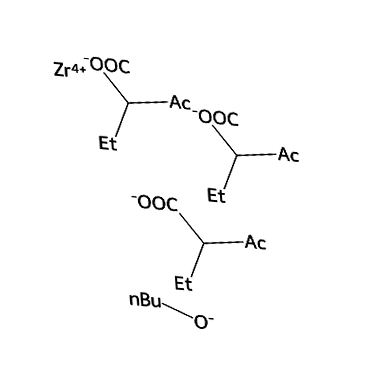 CCC(C(C)=O)C(=O)[O-].CCC(C(C)=O)C(=O)[O-].CCC(C(C)=O)C(=O)[O-].CCCC[O-].[Zr+4]